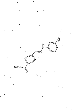 COC(=O)c1ccc(C=NNc2cccc(Cl)c2)cc1